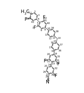 Cc1ccc(-c2c(F)cc(-c3ccc(Cc4ccc(-c5cc(F)c(-c6ccc(C#N)c(F)c6)c(F)c5)cc4)cc3)cc2F)cc1F